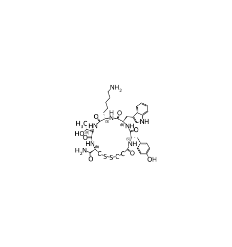 C[C@@H](O)[C@@H]1NC(=O)[C@H](CCCCCN)NC(=O)[C@@H](Cc2c[nH]c3ccccc23)NC(=O)[C@H](Cc2ccc(O)cc2)NC(=O)CCSSC[C@@H](C(N)=O)NC1=O